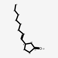 CCCCCCC=CC1CCC(=O)C1